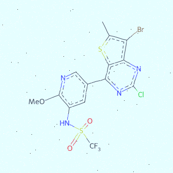 COc1ncc(-c2nc(Cl)nc3c(Br)c(C)sc23)cc1NS(=O)(=O)C(F)(F)F